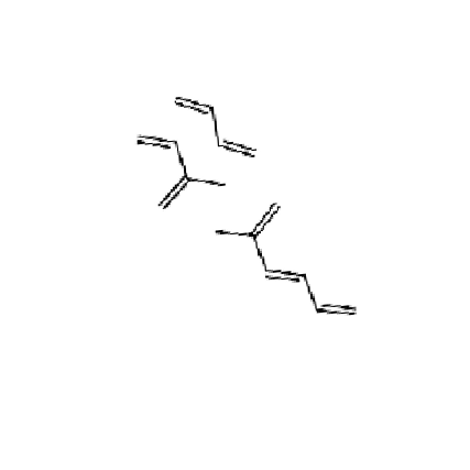 C=CC(=C)C.C=CC=C.C=CC=CC(=C)C